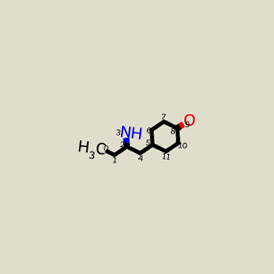 CCC(=N)CC1CCC(=O)CC1